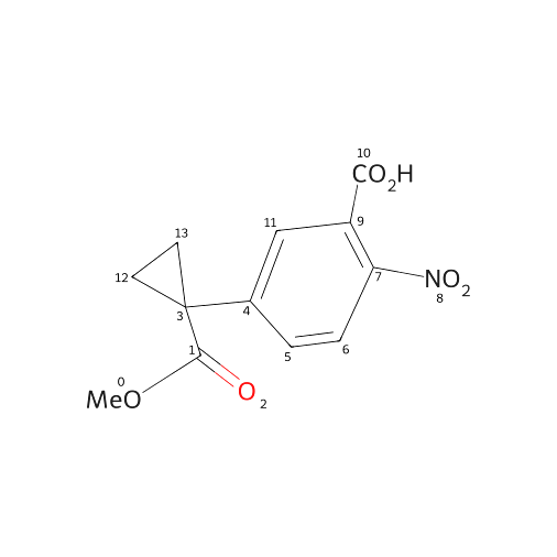 COC(=O)C1(c2ccc([N+](=O)[O-])c(C(=O)O)c2)CC1